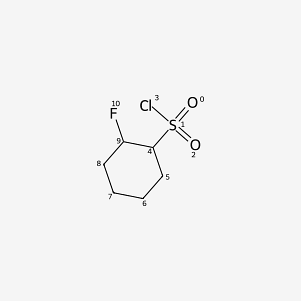 O=S(=O)(Cl)C1CCCCC1F